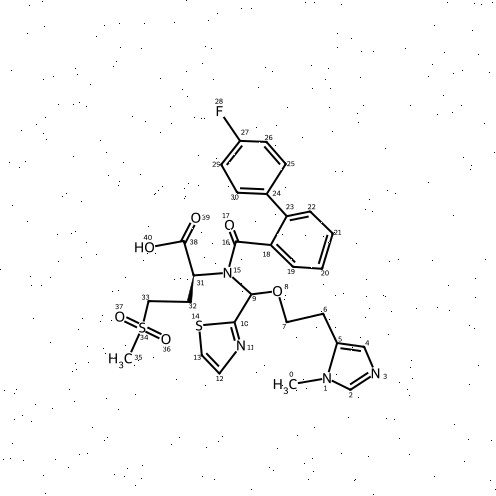 Cn1cncc1CCOC(c1nccs1)N(C(=O)c1ccccc1-c1ccc(F)cc1)[C@@H](CCS(C)(=O)=O)C(=O)O